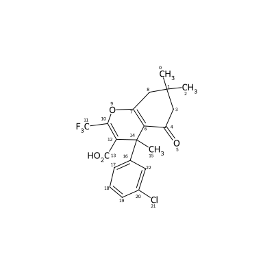 CC1(C)CC(=O)C2=C(C1)OC(C(F)(F)F)=C(C(=O)O)C2(C)c1cccc(Cl)c1